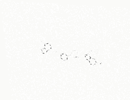 Cc1coc2c(COc3cccc(N4C=NN(Cc5nc6ccc(C(=O)O)cc6n5CC5CCO5)CC4)n3)ccc(Cl)c12